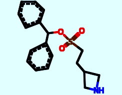 O=S(=O)(CCC1CNC1)OC(c1ccccc1)c1ccccc1